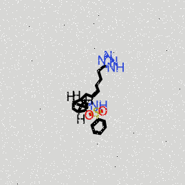 CC1(C)[C@H]2C[C@H](NS(=O)(=O)c3ccccc3)[C@@H](C/C=C\CCCc3nnn[nH]3)[C@@H]1C2